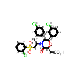 CCC(CS(=O)(=O)c1ccccc1Cl)N1C(=O)[C@H](CC(=O)O)O[C@H](c2cccc(Cl)c2)[C@H]1c1ccc(Cl)cc1